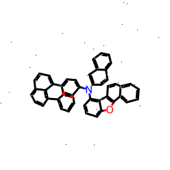 c1ccc(-c2cccc3cccc(-c4ccc(N(c5ccc6ccccc6c5)c5cccc6oc7c8ccccc8ccc7c56)cc4)c23)cc1